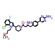 COCCCn1c(C2CCCN(C(=O)C[C@H](N)Cc3ccc(-c4cnc(N)nc4)cc3)C2)cc2c(F)ccc(Cl)c21